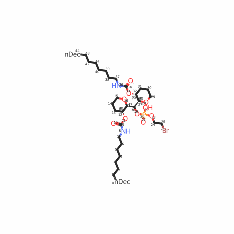 CCCCCCCCCCCCCCCCCNC(=O)O[C@@H]1CCCO[C@H]1C(OP(=O)(O)OCCBr)[C@@H]1OCCC[C@H]1OC(=O)NCCCCCCCCCCCCCCCCC